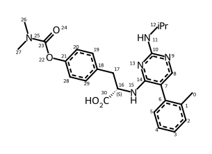 Cc1ccccc1-c1cnc(NC(C)C)nc1N[C@@H](Cc1ccc(OC(=O)N(C)C)cc1)C(=O)O